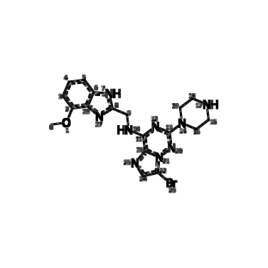 COc1cccc2[nH]c(CNc3nc(N4CCNCC4)nn4c(Br)cnc34)nc12